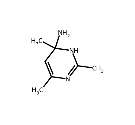 CC1=CC(C)(N)NC(C)=N1